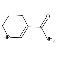 NC(=O)C1=CPCCC1